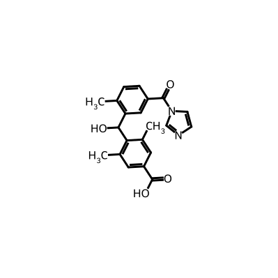 Cc1ccc(C(=O)n2ccnc2)cc1C(O)c1c(C)cc(C(=O)O)cc1C